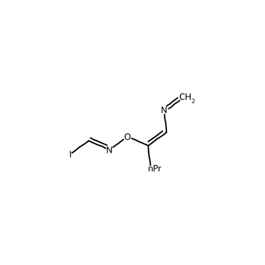 C=N/C=C(/CCC)O/N=C/I